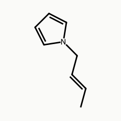 C/C=C/Cn1cccc1